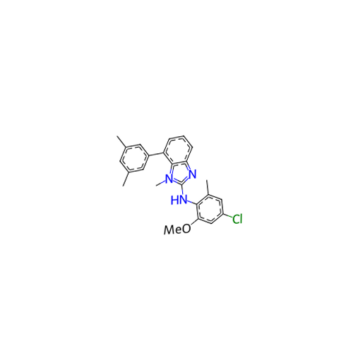 COc1cc(Cl)cc(C)c1Nc1nc2cccc(-c3cc(C)cc(C)c3)c2n1C